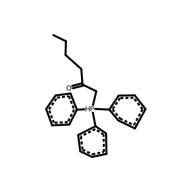 CCCCC(=O)C[PH](c1ccccc1)(c1ccccc1)c1ccccc1